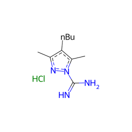 CCCCc1c(C)nn(C(=N)N)c1C.Cl